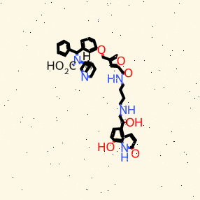 O=C(NCCCCNC[C@@H](O)c1ccc(O)c2[nH]c(=O)ccc12)c1cc(COc2cccc(C(c3ccccc3)N(C(=O)O)[C@H]3CN4CCC3CC4)c2)co1